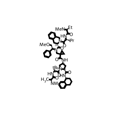 CC[C@H](NC)C(=O)N[C@H](C(=O)N1Cc2ccccc2C[C@H]1C(=O)N(CC1(C(=O)N[C@H]2C[C@@H](C(=O)N[C@@H]3CCCc4ccccc43)N(C(=O)[C@@H](NC(=O)[C@H](C)NC)C(C)(C)C)C2)CC1)[C@H](COC)c1ccccc1)C(C)C